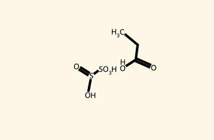 CCC(=O)O.O=S(O)S(=O)(=O)O